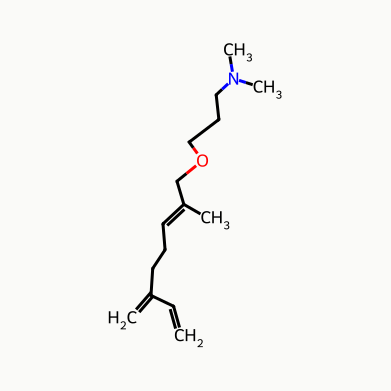 C=CC(=C)CC/C=C(\C)COCCCN(C)C